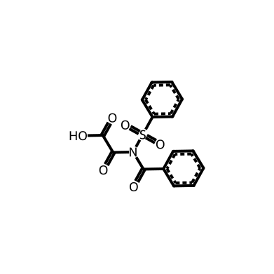 O=C(O)C(=O)N(C(=O)c1ccccc1)S(=O)(=O)c1ccccc1